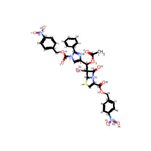 CC(=O)OC(c1cn(C(=O)OCc2ccc([N+](=O)[O-])cc2)c(-c2ccccc2)n1)C1(Br)C(=O)N2C(C(=O)OCc3ccc([N+](=O)[O-])cc3)=CSC21